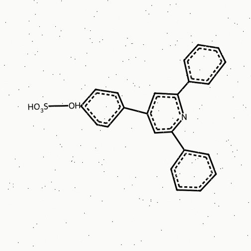 O=S(=O)(O)O.c1ccc(-c2cc(-c3ccccc3)nc(-c3ccccc3)c2)cc1